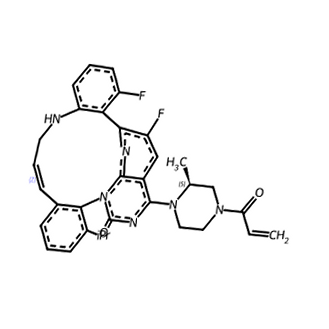 C=CC(=O)N1CCN(c2nc(=O)n3c4nc(c(F)cc24)-c2c(F)cccc2NC/C=C\c2cccc(C(C)C)c2-3)[C@@H](C)C1